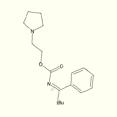 CC(C)(C)/C(=N/C(=O)OCCN1CCCC1)c1ccccc1